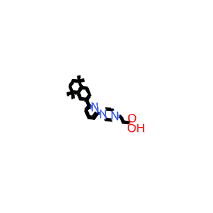 CC1(C)CCC(C)(C)C2CC(c3cccc(N4CCN(CCC(=O)O)CC4)n3)CCC21